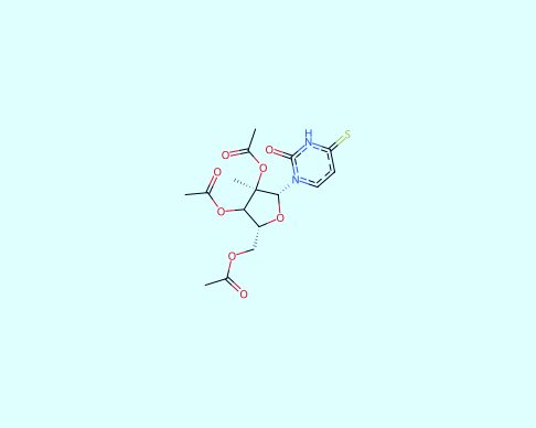 CC(=O)OC[C@H]1O[C@@H](n2ccc(=S)[nH]c2=O)[C@](C)(OC(C)=O)C1OC(C)=O